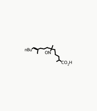 CCCC/C=C(\C)CCCC(C)(CCCC(C)C(=O)O)N=O